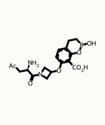 CC(=O)C[C@@H](N)C(=O)N1CC(Oc2ccc3c(c2C(=O)O)OB(O)CC3)C1